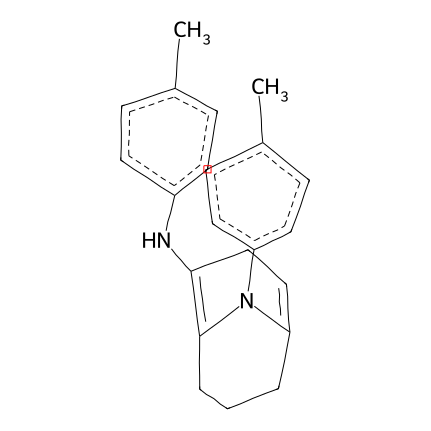 Cc1ccc(NC2=C3CCCC(=CC2)N3c2ccc(C)cc2)cc1